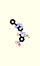 Cc1ccc([N+](=O)[O-])cc1C(=O)Nc1cnc2[nH]c(-c3ccccc3)nc2c1